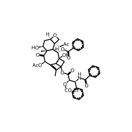 CCOC(=O)O[C@@H](C(=O)OC12C[C@@]3(O)[C@@H](OC(=O)c4ccccc4)[C@@H]4[C@]5(CC(C)=O)CO[C@@H]5C[C@H](O)[C@@]4(C)C(=O)[C@H](OC(C)=O)C(=C1C)[C@@]23C)[C@@H](NC(=O)c1ccccc1)c1ccccc1